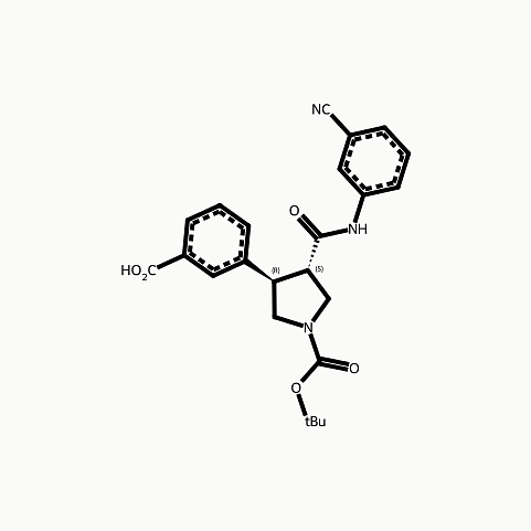 CC(C)(C)OC(=O)N1C[C@@H](C(=O)Nc2cccc(C#N)c2)[C@H](c2cccc(C(=O)O)c2)C1